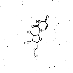 O=c1ccn([C@@H]2O[C@H](COS)[C@@H](O)[C@H]2O)c(=O)[nH]1